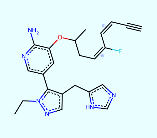 C#C/C=C\C(F)=C/CC(C)Oc1cc(-c2c(Cc3cnc[nH]3)cnn2CC)cnc1N